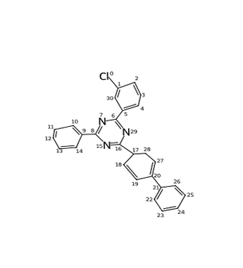 Clc1cccc(-c2nc(-c3ccccc3)nc(C3C=CC(c4ccccc4)=CC3)n2)c1